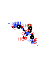 COC(=O)N(C(=N)N)c1ccc(C(=O)NCCC[C@H]2C(=O)N(CC(=O)O)CCN2C(=O)C(Cc2ccc(OC)cc2)NC(=O)c2ccc(N(C(=N)N)C(=O)OC)cc2)cc1.Cl